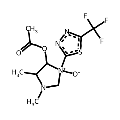 CC(=O)OC1C(C)N(C)C[N+]1([O-])c1nnc(C(F)(F)F)s1